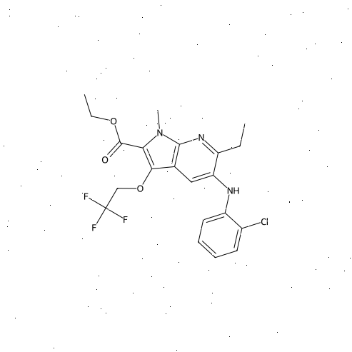 CCOC(=O)c1c(OCC(F)(F)F)c2cc(Nc3ccccc3Cl)c(CC)nc2n1C